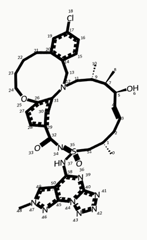 C[C@H]1C/C=C/[C@H](O)[C@H](C)[C@@H](C)CN2Cc3ccc(Cl)cc3CCCCOc3ccc(cc32)C(=O)N=S(=O)(Nc2nc3nnnn3c3nn(C)cc23)C1